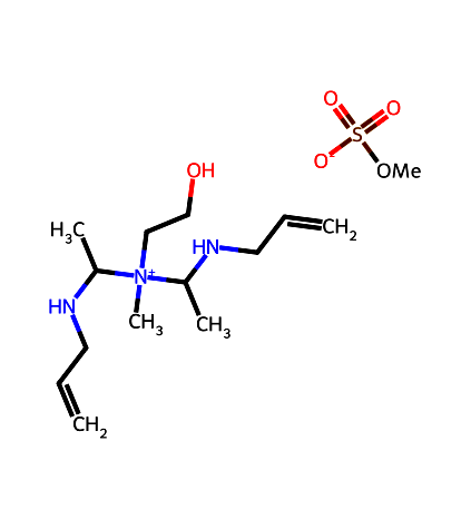 C=CCNC(C)[N+](C)(CCO)C(C)NCC=C.COS(=O)(=O)[O-]